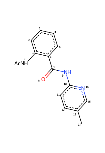 CC(=O)Nc1ccccc1C(=O)Nc1ccc(C)cn1